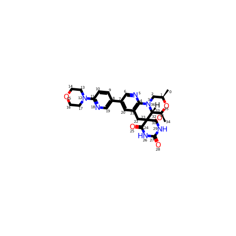 C[C@@H]1CN2c3ncc(-c4ccc(N5CCOCC5)nc4)cc3CC3(C(=O)NC(=O)NC3=O)[C@H]2[C@H](C)O1